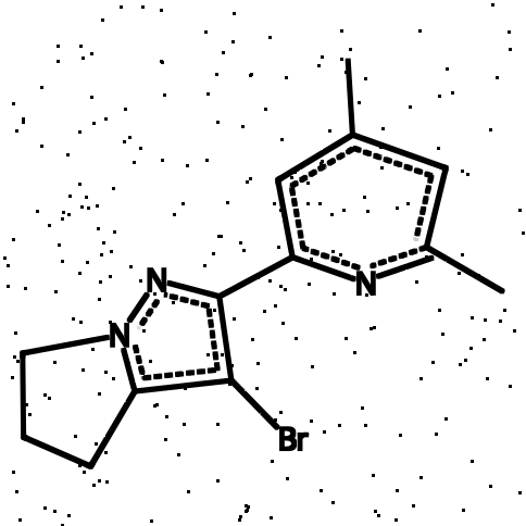 Cc1cc(C)nc(-c2nn3c(c2Br)CCC3)c1